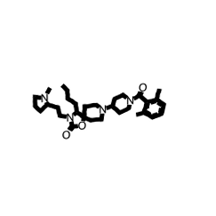 CCCCC1N(CCC2CCCN2C)C(=O)OC12CCN(C1CCN(C(=O)c3c(C)cccc3C)CC1)CC2